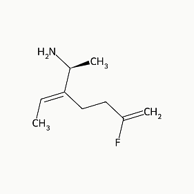 C=C(F)CC/C(=C\C)[C@H](C)N